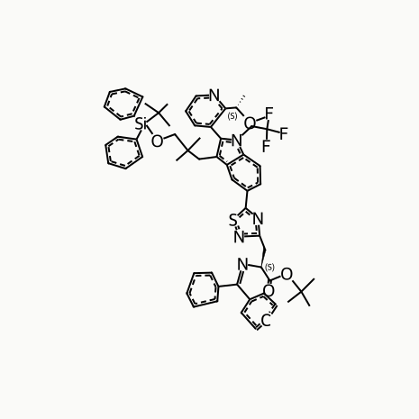 CO[C@@H](C)c1ncccc1-c1c(CC(C)(C)CO[Si](c2ccccc2)(c2ccccc2)C(C)(C)C)c2cc(-c3nc(C[C@H](N=C(c4ccccc4)c4ccccc4)C(=O)OC(C)(C)C)ns3)ccc2n1CC(F)(F)F